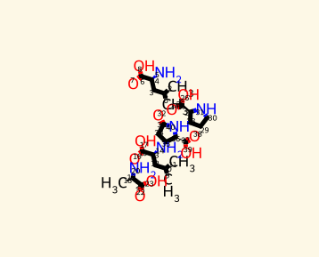 CC(C)C[C@H](N)C(=O)O.CC(C)C[C@H](N)C(=O)O.C[C@H](N)C(=O)O.O=C(O)[C@@H]1CCCN1.O=C1CC[C@@H](C(=O)O)N1